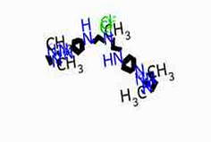 CN(CCCNc1ccc(/N=N/c2n(C)cc[n+]2C)cc1)CCCNc1ccc(/N=N/c2n(C)cc[n+]2C)cc1.[Cl-].[Cl-]